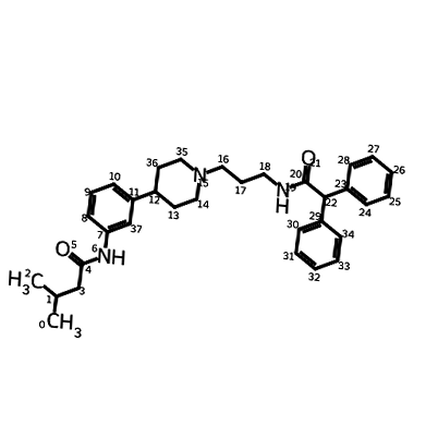 CC(C)CC(=O)Nc1cccc(C2CCN(CCCNC(=O)C(c3ccccc3)c3ccccc3)CC2)c1